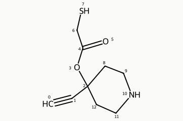 C#CC1(OC(=O)CS)CCNCC1